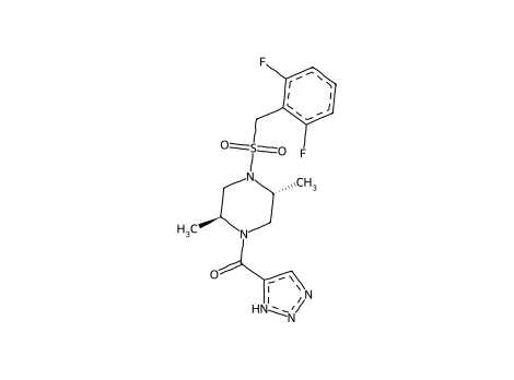 C[C@@H]1CN(C(=O)c2cnn[nH]2)[C@@H](C)CN1S(=O)(=O)Cc1c(F)cccc1F